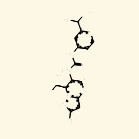 CO[C@@H](C)c1c(NC(=O)Nc2ccnc(C(F)F)c2)cnc2cc(Cl)nn12